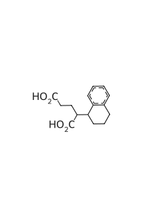 O=C(O)CCC(C(=O)O)C1CCCc2ccccc21